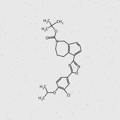 CC(C)Oc1ccc(-c2nc(-c3cccc4c3CCCN(C(=O)OC(C)(C)C)C4)no2)cc1Cl